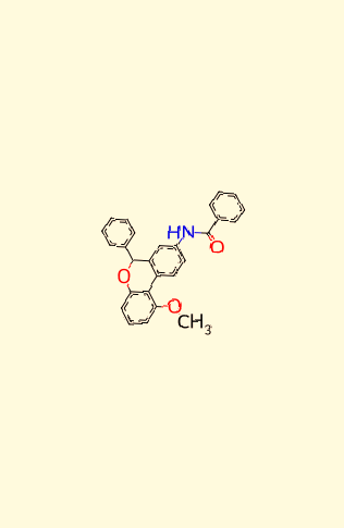 COc1cccc2c1-c1ccc(NC(=O)c3ccccc3)cc1C(c1ccccc1)O2